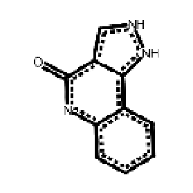 O=c1nc2ccccc2c2[nH][nH]cc1-2